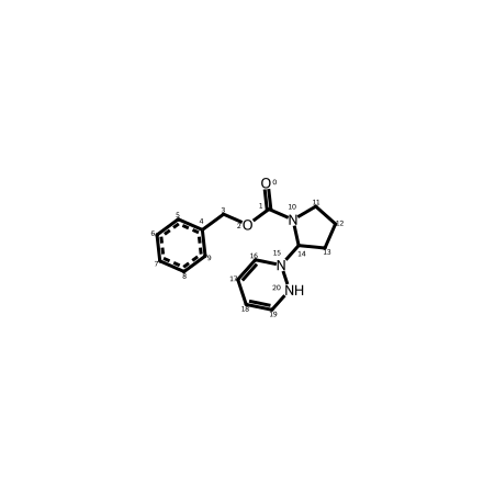 O=C(OCc1ccccc1)N1CCCC1N1C=CC=CN1